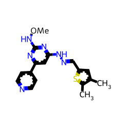 CONc1nc(NN=Cc2cc(C)c(C)s2)cc(-c2ccncc2)n1